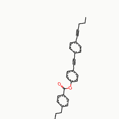 CCCC#Cc1ccc(C#Cc2ccc(OC(=O)c3ccc(CCCC)cc3)cc2)cc1